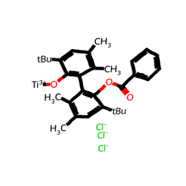 Cc1cc(C(C)(C)C)c([O][Ti+3])c(-c2c(C)c(C)cc(C(C)(C)C)c2OC(=O)c2ccccc2)c1C.[Cl-].[Cl-].[Cl-]